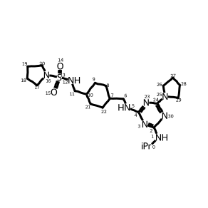 CC(C)Nc1nc(NCC2CCC(CNS(=O)(=O)N3CCCC3)CC2)nc(N2CCCC2)n1